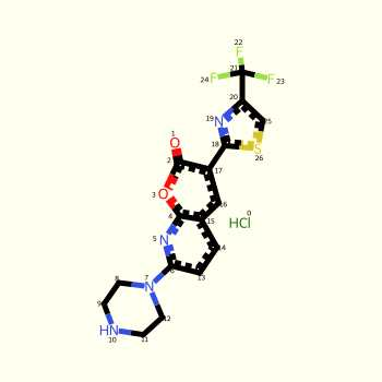 Cl.O=c1oc2nc(N3CCNCC3)ccc2cc1-c1nc(C(F)(F)F)cs1